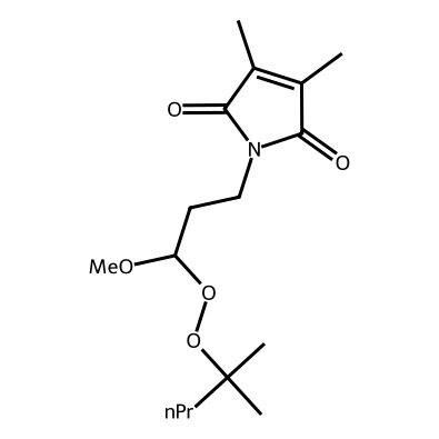 CCCC(C)(C)OOC(CCN1C(=O)C(C)=C(C)C1=O)OC